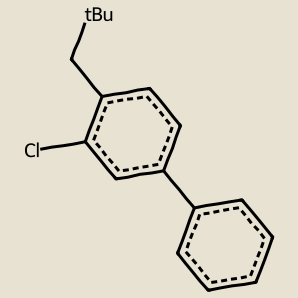 CC(C)(C)Cc1ccc(-c2ccccc2)cc1Cl